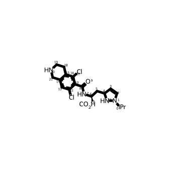 CC(C)N1C=CC(C[C@H](NC(=O)c2c(Cl)cc3c(c2Cl)CCNC3)C(=O)O)N1